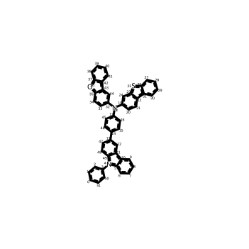 c1ccc(-n2c3ccccc3c3cc(-c4ccc(N(c5ccc6c(c5)sc5ccccc56)c5ccc6oc7ccccc7c6c5)cc4)ccc32)cc1